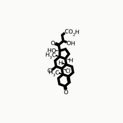 C[C@]12CCC(=O)C=C1CC[C@H]1[C@@H]3CC[C@](O)(C(=O)C(O)CC(=O)O)[C@@]3(C)CC(Cl)[C@@]12Cl